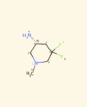 CN1C[C@H](N)CC(F)(F)C1